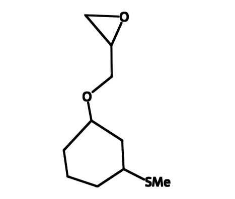 CSC1CCCC(OCC2CO2)C1